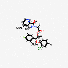 COc1cc(F)ccc1[C@@H](Oc1ccc(C)cc1Cl)[C@H](C)OC(=O)[C@H](C)NC(=O)c1nccc(OC)c1OC(C)=O